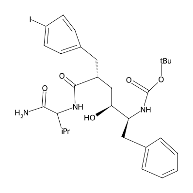 CC(C)C(NC(=O)[C@H](Cc1ccc(I)cc1)C[C@H](O)[C@H](Cc1ccccc1)NC(=O)OC(C)(C)C)C(N)=O